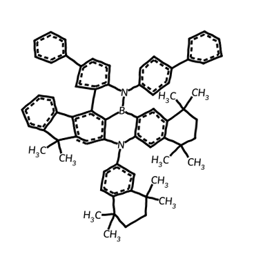 CC1(C)CCC(C)(C)c2cc(N3c4cc5c(cc4B4c6c3cc3c(c6-c6cc(-c7ccccc7)ccc6N4c4ccc(-c6ccccc6)cc4)-c4ccccc4C3(C)C)C(C)(C)CCC5(C)C)ccc21